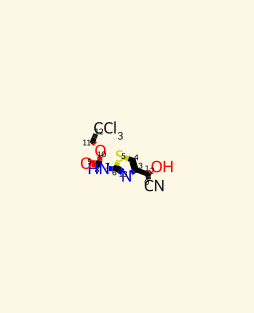 N#CC(O)c1csc(NC(=O)OCC(Cl)(Cl)Cl)n1